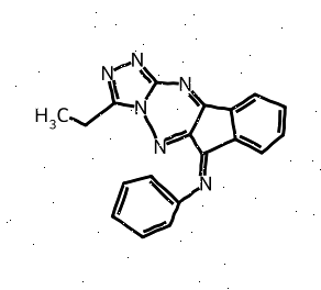 CCc1nnc2nc3c(nn12)C(=Nc1ccccc1)c1ccccc1-3